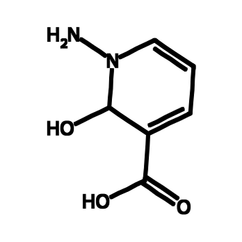 NN1C=CC=C(C(=O)O)C1O